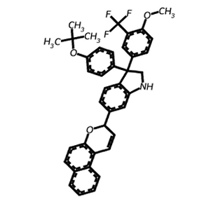 COc1ccc(C2(c3ccc(OC(C)(C)C)cc3)CNc3cc(C4C=Cc5c(ccc6ccccc56)O4)ccc32)cc1C(F)(F)F